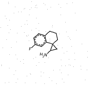 NC1CC12CCCc1ccc(F)cc12